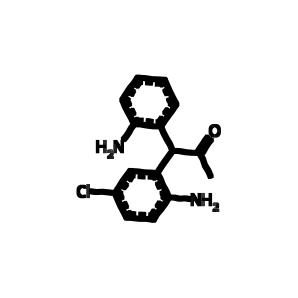 CC(=O)C(c1ccccc1N)c1cc(Cl)ccc1N